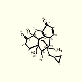 C[N+]1(CC2CC2)CC[C@]23C4=C5O[C@H]2C(=O)CC[C@@]3(O)[C@H]1CC4C=CC5=O